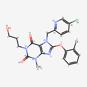 CCc1ccccc1Oc1nc2c(c(=O)n(CCCO)c(=O)n2C)n1Cc1ccc(Cl)cn1